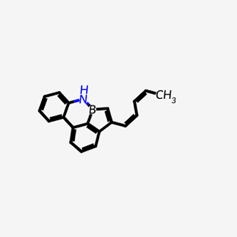 C/C=C\C=C/C1=CB2Nc3ccccc3-c3cccc1c32